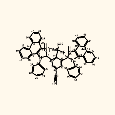 N#Cc1cc(C2Nc3c(c4ccccc4c4ccccc34)N2c2ccccc2)c(C(F)(F)F)c(C2Nc3c(c4ccccc4c4ccccc34)N2c2ccccc2)c1